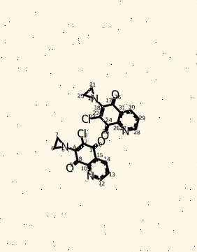 O=C1C(Cl)=C(N2CC2)C(=O)c2ncccc21.O=C1C(N2CC2)=C(Cl)C(=O)c2ncccc21